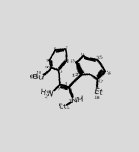 CCN/C(=C(\N)c1ccccc1C(C)CC)c1ccccc1CC